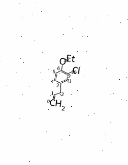 C=C[CH]c1ccc(OCC)c(Cl)c1